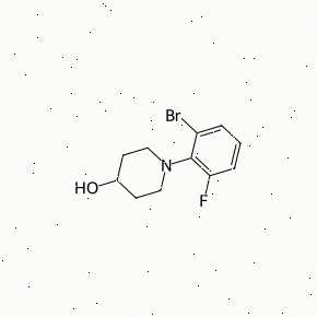 OC1CCN(c2c(F)cccc2Br)CC1